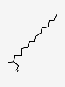 CCCCCCCCCCCCCC(C)C[O]